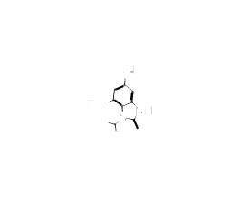 C=C1Nc2cc(SF)cc(C(F)(F)F)c2N1C(CC)CC